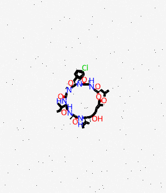 C/C=C(\C)[C@H]1NC(=O)[C@@H](C)NC(=O)C(C(C)CC)NC(=O)CN(C)C(=O)[C@@H](Cc2ccc(Cl)cc2)N(C)C(=O)[C@H](C)NC(=O)[C@@H](CC(C)C)OC(=O)/C(C)=C/C[C@H](O)[C@@H]1C